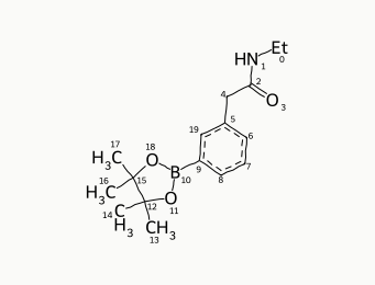 CCNC(=O)Cc1cccc(B2OC(C)(C)C(C)(C)O2)c1